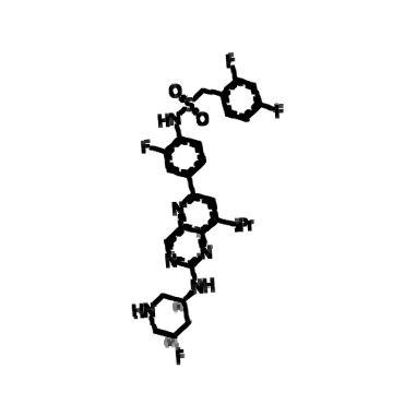 CC(C)c1cc(-c2ccc(NS(=O)(=O)Cc3ccc(F)cc3F)c(F)c2)nc2cnc(N[C@@H]3CNC[C@@H](F)C3)nc12